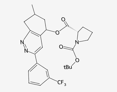 CC1Cc2nnc(-c3cccc(C(F)(F)F)c3)cc2C(OC(=O)[C@@H]2CCCN2C(=O)OC(C)(C)C)C1